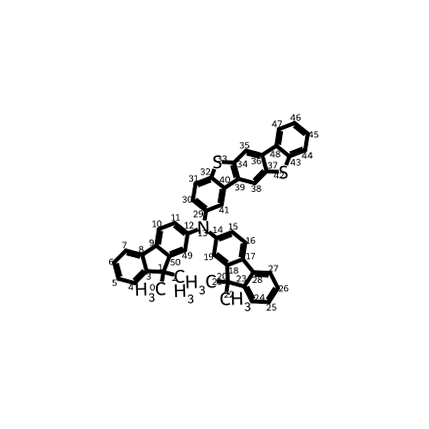 CC1(C)c2ccccc2-c2ccc(N(c3ccc4c(c3)C(C)(C)c3ccccc3-4)c3ccc4sc5cc6c(cc5c4c3)sc3ccccc36)cc21